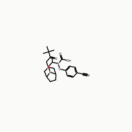 CC(CN1C2CCC1CN(CC(=O)C(C)(C)C)C2)N(Oc1ccc(C#N)cc1)C(=O)O